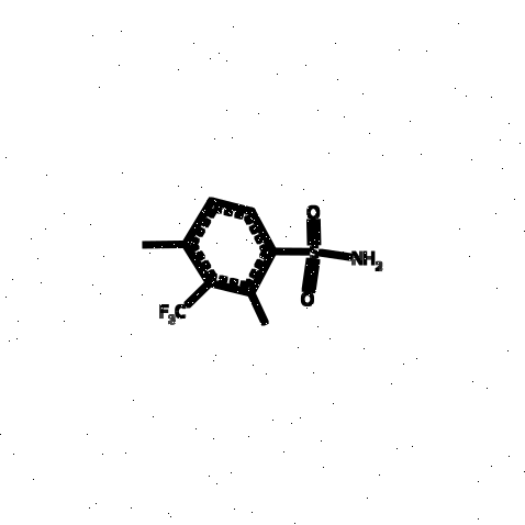 Cc1ccc(S(N)(=O)=O)c(C)c1C(F)(F)F